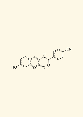 N#Cc1ccc(C(=O)Nc2cc3ccc(O)cc3oc2=O)cc1